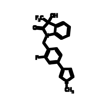 Cn1ccc(-c2ccc(CN3C(=O)C(O)(C(F)(F)F)c4ccccc43)c(F)c2)c1